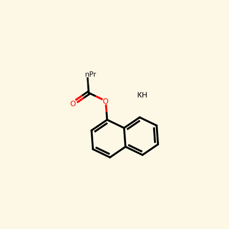 CCCC(=O)Oc1cccc2ccccc12.[KH]